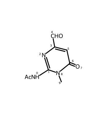 CC(=O)Nc1nc(C=O)cc(=O)n1C